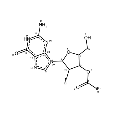 CC(C)C(=O)OC1C(CO)OC(n2cnc3c(=O)[nH]c(N)nc32)C1F